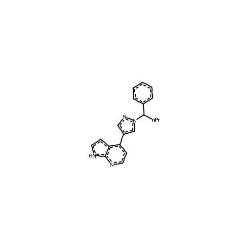 CCCC(c1ccccc1)n1cc(-c2ccnc3[nH]ccc23)cn1